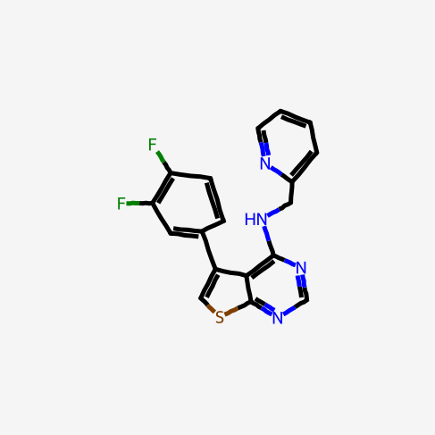 Fc1ccc(-c2csc3ncnc(NCc4ccccn4)c23)cc1F